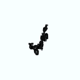 CC(C)N1CCC(c2ccccc2C(=O)Nc2ccc3cc(C(=O)N[C@H](C(=O)N(C)Cc4ccc(F)cc4)c4ccccc4)ccc3n2)C1